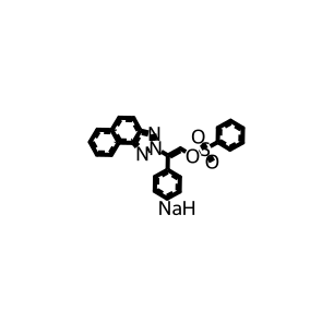 O=S(=O)(OC=C(c1ccccc1)n1nc2ccc3ccccc3c2n1)c1ccccc1.[NaH]